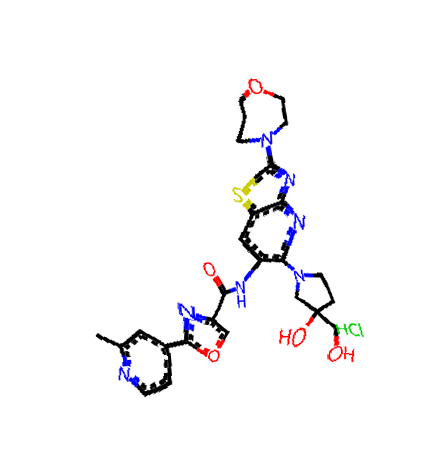 Cc1cc(-c2nc(C(=O)Nc3cc4sc(N5CCOCC5)nc4nc3N3CCC(O)(CO)C3)co2)ccn1.Cl